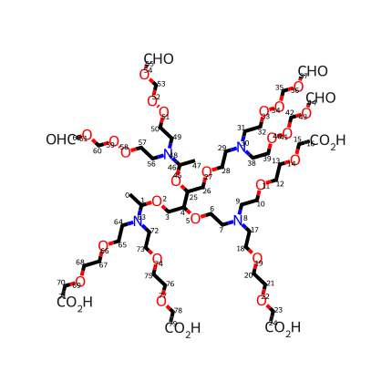 CC(OCC(OCCN(CCOCCOCC(=O)O)CCOCCOCC(=O)O)C(COCCN(CCOOCOC=O)CCOOCOC=O)OC(C)N(CCOOCOC=O)CCOOCOC=O)N(CCOCCOCC(=O)O)CCOCCOCC(=O)O